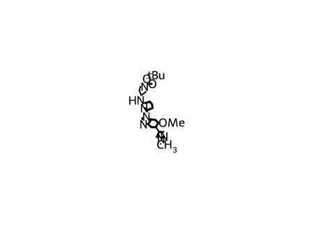 COc1cc2c(cc1-c1cnn(C)c1)ncn2-c1cccc(NC2CCN(C(=O)OC(C)(C)C)C2)n1